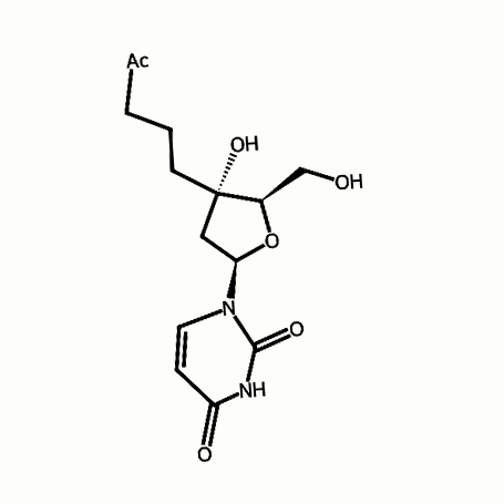 CC(=O)CCC[C@]1(O)C[C@H](n2ccc(=O)[nH]c2=O)O[C@@H]1CO